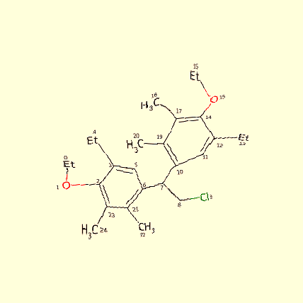 CCOc1c(CC)cc(C(CCl)c2cc(CC)c(OCC)c(C)c2C)c(C)c1C